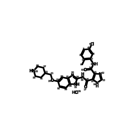 Cc1ccc(Cl)cc1NC(=O)c1nc[nH]c1C(=O)Nc1nc2cc(OCC3CCNCC3)ccc2[nH]1.Cl